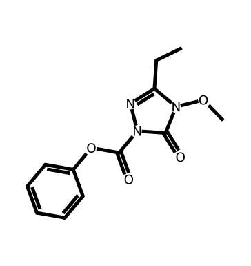 CCc1nn(C(=O)Oc2ccccc2)c(=O)n1OC